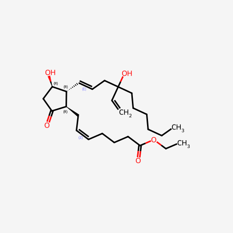 C=CC(O)(C/C=C/[C@H]1[C@H](O)CC(=O)[C@@H]1C/C=C\CCCC(=O)OCC)CCCCCC